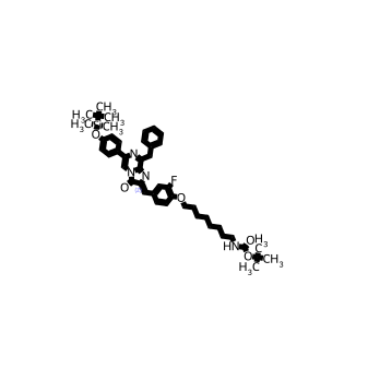 CC(C)(C)OC(=O)NCCCCCCCCOc1ccc(/C=C2\N=C3C(Cc4ccccc4)=NC(c4ccc(O[Si](C)(C)C(C)(C)C)cc4)=CN3C2=O)cc1F